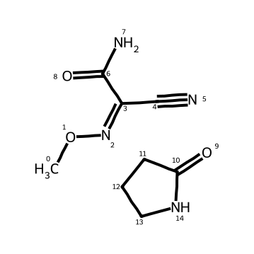 CON=C(C#N)C(N)=O.O=C1CCCN1